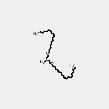 CCCCC/C=C\C/C=C\CCCCCCCCOCCN(C)CCOCCCCCCCC/C=C\C/C=C\CCCCC